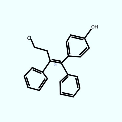 Oc1ccc(/C(=C(\CCCl)c2ccccc2)c2ccccc2)cc1